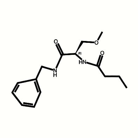 CCCC(=O)N[C@H](COC)C(=O)NCc1ccccc1